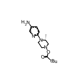 C[C@@H]1CN(OC(=O)C(C)(C)C)CCN1c1ccc(N)cn1